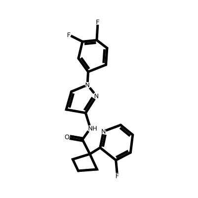 O=C(Nc1ccn(-c2ccc(F)c(F)c2)n1)C1(c2ncccc2F)CCC1